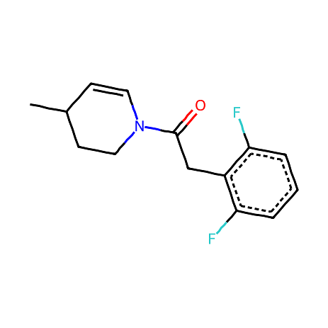 CC1C=CN(C(=O)Cc2c(F)cccc2F)CC1